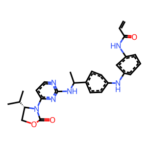 C=CC(=O)Nc1cccc(Nc2ccc(C(C)Nc3nccc(N4C(=O)OC[C@@H]4C(C)C)n3)cc2)c1